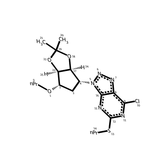 CCCO[C@H]1C[C@@H](n2nnc3c(Cl)nc(SCCC)nc32)[C@@H]2OC(C)(C)O[C@@H]21